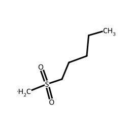 [CH2]S(=O)(=O)CCCCC